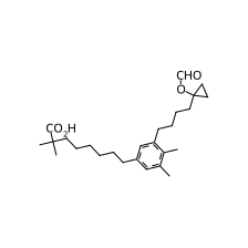 Cc1cc(CCCCCCC(C)(C)C(=O)O)cc(CCCCC2(OC=O)CC2)c1C